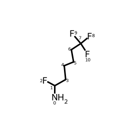 NC(F)CCCCC(F)(F)F